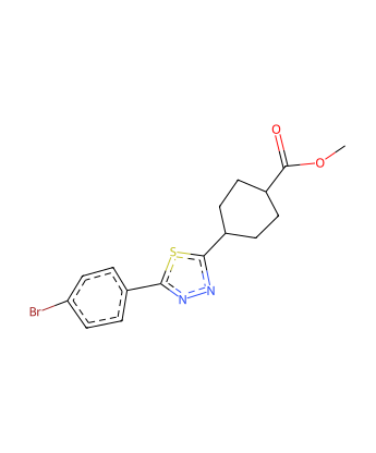 COC(=O)C1CCC(c2nnc(-c3ccc(Br)cc3)s2)CC1